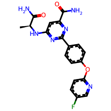 C[C@H](Nc1cc(C(N)=O)nc(-c2ccc(Oc3ccc(F)cn3)cc2)n1)C(N)=O